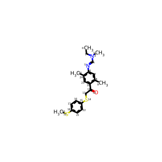 CCN(C)C=Nc1cc(C)c(C(=O)CSc2ccc(SC)cc2)cc1C